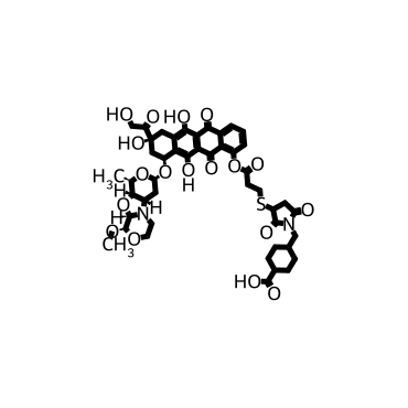 CO[C@H]1OCCN2[C@@H]1O[C@@H]1[C@H](C)O[C@@H](O[C@H]3C[C@](O)(C(=O)CO)Cc4c(O)c5c(c(O)c43)C(=O)c3c(OC(=O)CCSC4CC(=O)N(CC6CCC(C(=O)O)CC6)C4=O)cccc3C5=O)C[C@@H]12